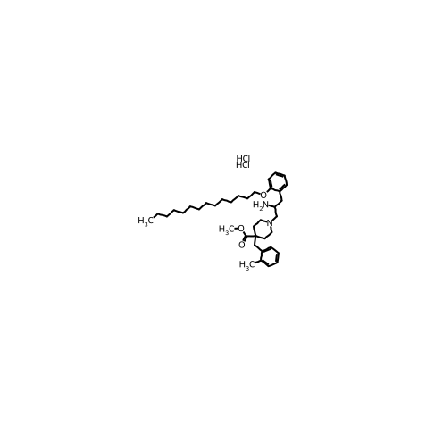 CCCCCCCCCCCCCCOc1ccccc1CC(N)CN1CCC(Cc2ccccc2C)(C(=O)OC)CC1.Cl.Cl